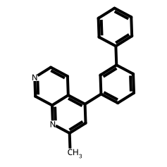 Cc1cc(-c2cccc(-c3ccccc3)c2)c2ccncc2n1